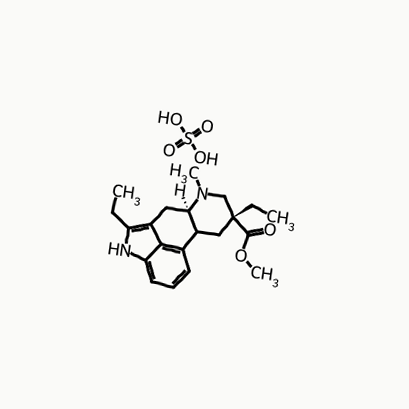 CCc1[nH]c2cccc3c2c1C[C@@H]1C3C[C@@](CC)(C(=O)OC)CN1C.O=S(=O)(O)O